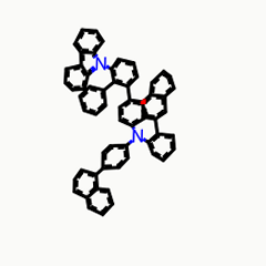 c1ccc(-c2c(-c3ccc(N(c4ccc(-c5cccc6ccccc56)cc4)c4ccccc4-c4ccc5ccccc5c4)cc3)cccc2-n2c3ccccc3c3ccccc32)cc1